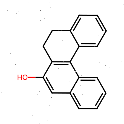 Oc1cc2ccccc2c2c1CCc1ccccc1-2